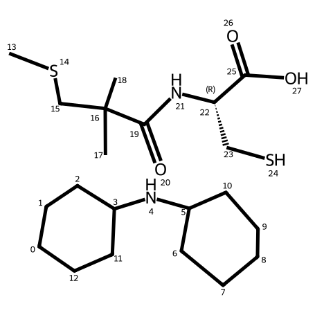 C1CCC(NC2CCCCC2)CC1.CSCC(C)(C)C(=O)N[C@@H](CS)C(=O)O